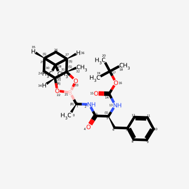 C[C@H](NC(=O)[C@H](Cc1ccccc1)NC(=O)OC(C)(C)C)B1O[C@@H]2C[C@@H]3C[C@@H](C3(C)C)[C@]2(C)O1